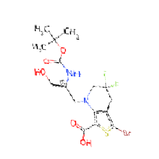 CC(C)(C)OC(=O)N[C@H](CO)CN1CC(F)(F)Cc2c(Br)sc(C(=O)O)c21